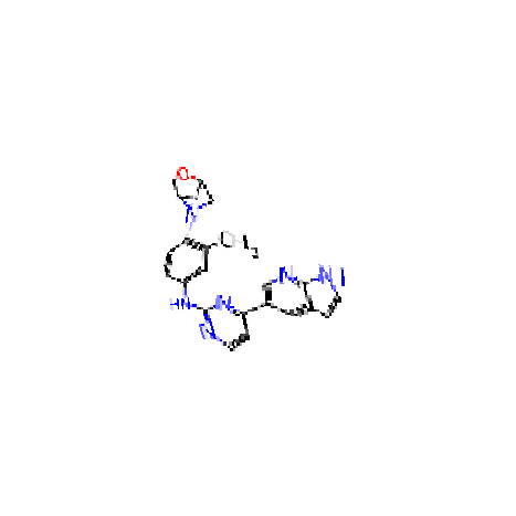 Cc1cc(Nc2nccc(-c3cnc4[nH]ccc4c3)n2)ccc1N1CC2CC1CO2